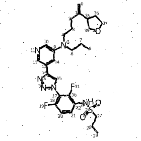 C=C(CCCN(CCC)c1cncc(-c2cn(-c3c(F)ccc(NS(=O)(=O)CCC)c3F)nn2)c1)C1CCOC1